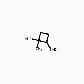 CC1(C)CCC1[C]=O